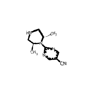 C[C@H]1CNC[C@H](C)N1c1ncc(C#N)cn1